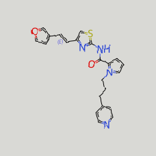 O=C(Nc1nc(/C=C/c2ccoc2)cs1)c1cccn1CCCc1ccncc1